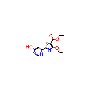 CCOC(=O)c1sc(-c2cc(O)ncn2)nc1OCC